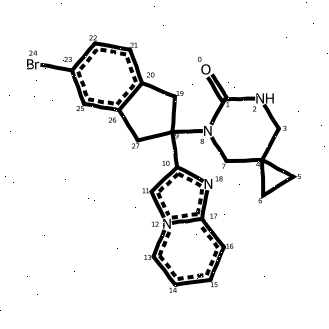 O=C1NCC2(CC2)CN1C1(c2cn3ccccc3n2)Cc2ccc(Br)cc2C1